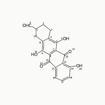 O=CC1CCc2c(O)c3c(c(O)c2C1)C(=O)c1cccc(O)c1C3=O